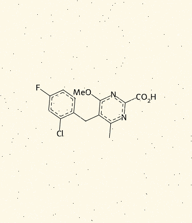 COc1nc(C(=O)O)nc(C)c1Cc1ccc(F)cc1Cl